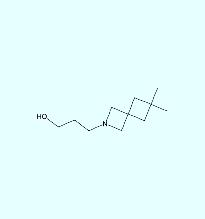 CC1(C)CC2(CN(CCCO)C2)C1